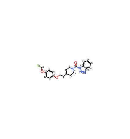 O=C(N1CCC(CCOc2ccc(OCF)cc2)CC1)n1nnc2ccccc21